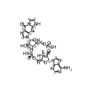 Nc1ncnc2c1ncn2[C@@H]1O[C@@H]2COP(=O)(S)O[C@H]3[C@@H](O)[C@H](n4cnc5c(=O)n6cc[nH]c6nc54)O[C@@H]3COP(=O)(S)O[C@@H]1[C@@H]2F